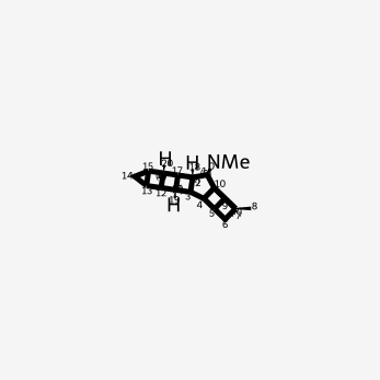 CN[C@@H]1[C@H]2C(C3C4C[C@]5(C)C4C315)[C@H]1C3C4CC4[C@H]3C12